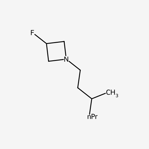 CCCC(C)CCN1CC(F)C1